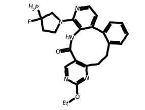 CCOc1ncc2c(n1)CCc1ccccc1-c1ccnc(N3CCC(F)(P)C3)c1NC2=O